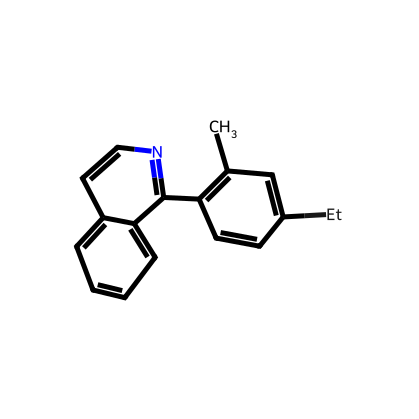 CCc1ccc(-c2nccc3ccccc23)c(C)c1